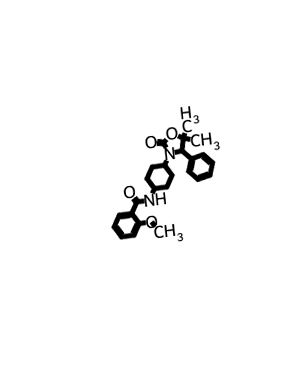 COc1ccccc1C(=O)NC1CCC(N2C(=O)OC(C)(C)C2c2ccccc2)CC1